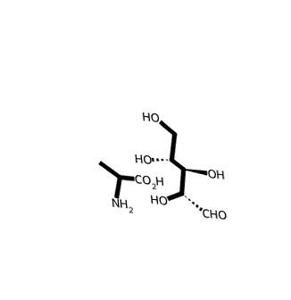 CC(N)C(=O)O.O=C[C@H](O)[C@H](O)[C@H](O)CO